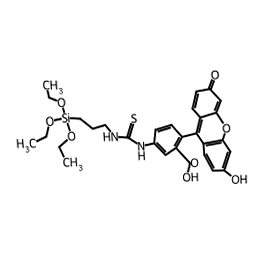 CCO[Si](CCCNC(=S)Nc1ccc(-c2c3ccc(=O)cc-3oc3cc(O)ccc23)c(C(=O)O)c1)(OCC)OCC